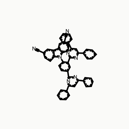 N#Cc1ccc2c(c1)c1cc(C#N)ccc1n2-c1ccc(-c2nc(-c3ccccc3)cc(-c3ccccc3)n2)cc1-c1nc(-c2ccccc2)cc(-c2ccccc2)n1